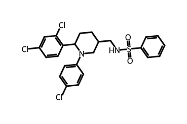 O=S(=O)(NCC1CCC(c2ccc(Cl)cc2Cl)N(c2ccc(Cl)cc2)C1)c1ccccc1